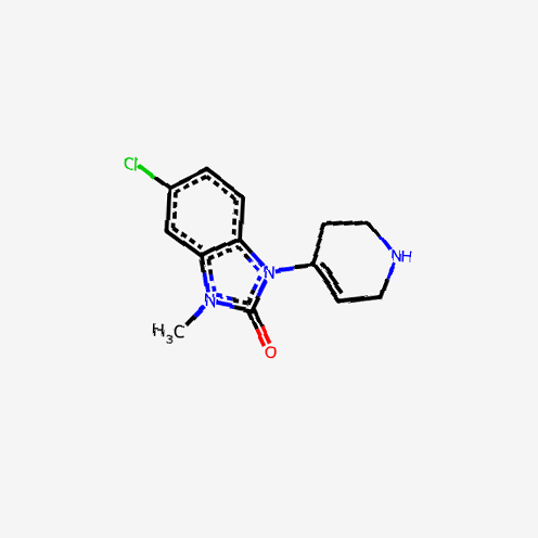 Cn1c(=O)n(C2=CCNCC2)c2ccc(Cl)cc21